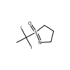 CC(I)(I)S1(=O)=NCCC1